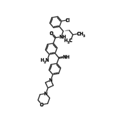 CC(C)C[C@H](NC(=O)c1ccc(N)c(C(=N)c2ccc(N3CC(N4CCOCC4)C3)cc2)c1)c1ccccc1Cl